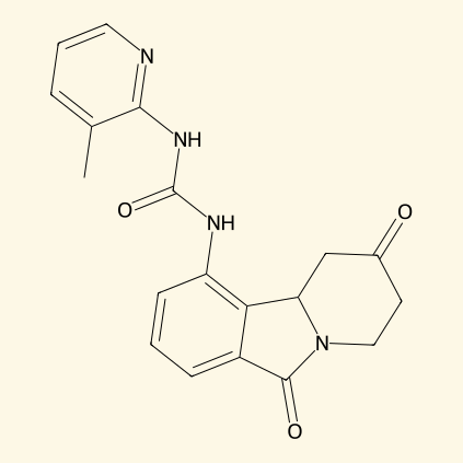 Cc1cccnc1NC(=O)Nc1cccc2c1C1CC(=O)CCN1C2=O